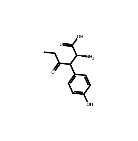 CCC(=O)C(c1ccc(O)cc1)[C@H](N)C(=O)O